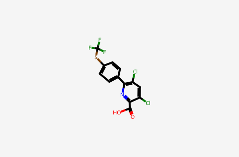 O=C(O)c1nc(-c2ccc(SC(F)(F)F)cc2)c(Cl)cc1Cl